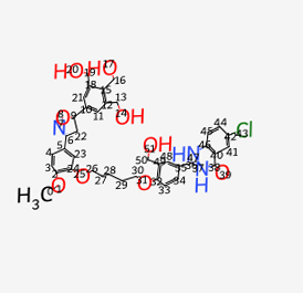 COc1ccc(C2=NOC(c3cc(CO)c(CO)c(CO)c3)C2)cc1OCCCCCOc1ccc(C2NC(=O)c3cc(Cl)ccc3N2)cc1CO